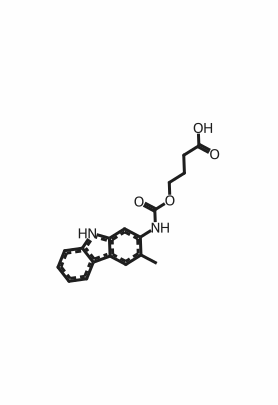 Cc1cc2c(cc1NC(=O)OCCCC(=O)O)[nH]c1ccccc12